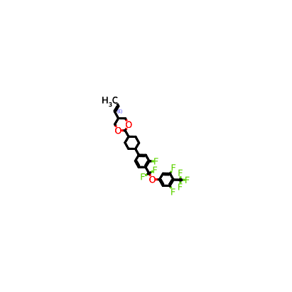 C/C=C/C1COC(C2CCC(c3ccc(C(F)(F)Oc4cc(F)c(C(F)(F)F)c(F)c4)c(F)c3)CC2)OC1